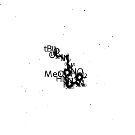 COc1cc(N(C)CCN(C)CCCC(=O)OC(C)(C)C)c([N+](=O)[O-])cc1Nc1nccc(-c2cn(C)c3ccccc23)n1